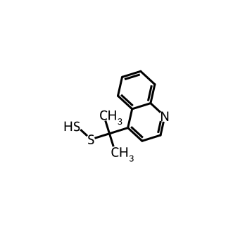 CC(C)(SS)c1ccnc2ccccc12